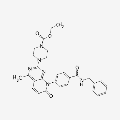 CCOC(=O)N1CCN(c2nc(C)c3ccc(=O)n(-c4ccc(C(=O)NCc5ccccc5)cc4)c3n2)CC1